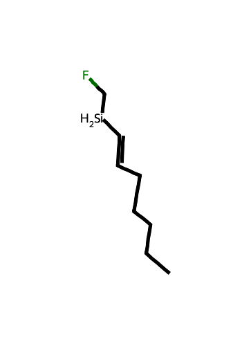 CCCCCC=C[SiH2]CF